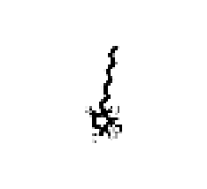 CCCCCCCCC1(Cl)C(=O)CC(Cl)(Cl)C1(Cl)Cl